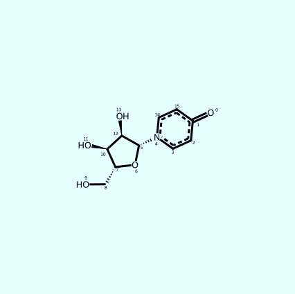 O=c1ccn([C@@H]2O[C@H](CO)[C@@H](O)[C@H]2O)cc1